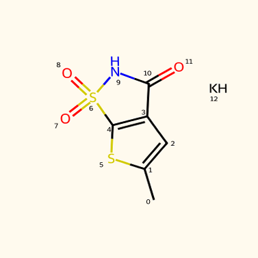 Cc1cc2c(s1)S(=O)(=O)NC2=O.[KH]